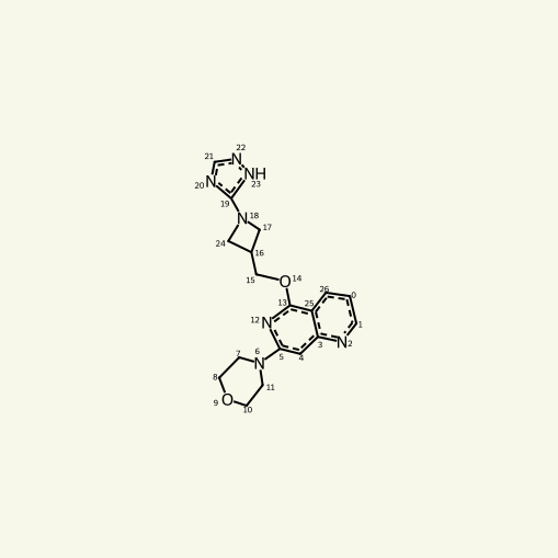 c1cnc2cc(N3CCOCC3)nc(OCC3CN(c4ncn[nH]4)C3)c2c1